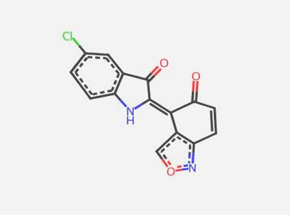 O=C1C=Cc2nocc2/C1=C1\Nc2ccc(Cl)cc2C1=O